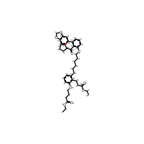 CCOC(=O)CCCOc1cccc(CCCCCCOc2cccc(-c3ccc4c(c3)OCO4)c2C(=O)C2CCCC2)c1CCC(=O)OCC